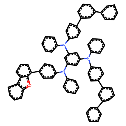 c1ccc(-c2cccc(-c3ccc(N(c4ccccc4)c4cc(N(c5ccccc5)c5ccc(-c6cccc(-c7ccccc7)c6)cc5)cc(N(c5ccccc5)c5ccc(-c6cccc7c6oc6ccccc67)cc5)c4)cc3)c2)cc1